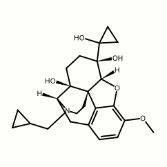 COc1ccc2c3c1O[C@H]1[C@@](O)(C4(O)CC4)CC[C@@]4(O)[C@@H](C2)N(CC2CC2)CC[C@]314